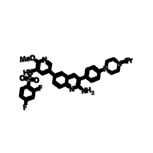 COc1ncc(-c2ccc3nc(N)c(-c4ccc(N5CCN(C(C)C)CC5)cc4)cc3c2)cc1NS(=O)(=O)c1ccc(F)cc1F